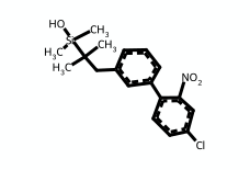 CC(C)(Cc1cccc(-c2ccc(Cl)cc2[N+](=O)[O-])c1)[Si](C)(C)O